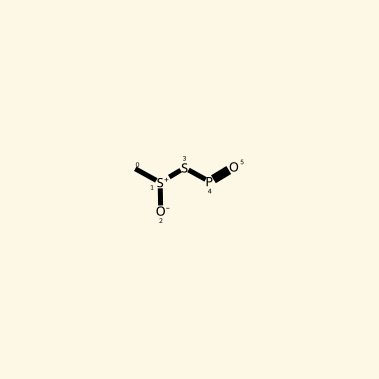 C[S+]([O-])SP=O